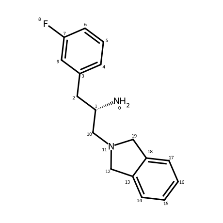 N[C@@H](Cc1cccc(F)c1)CN1Cc2ccccc2C1